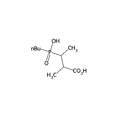 CCCCP(=O)(O)C(C)C(C)C(=O)O